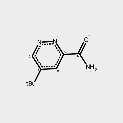 CC(C)(C)c1cnnc(C(N)=O)c1